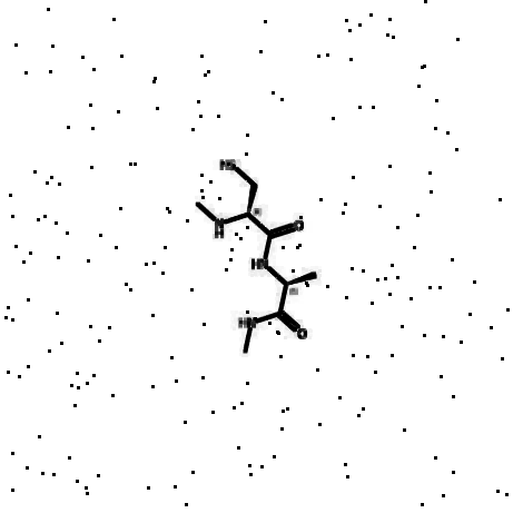 CNC(=O)[C@H](C)NC(=O)[C@H](CS)NC